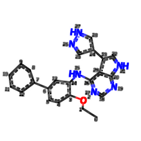 CCOc1ccc(-c2ccccc2)cc1Nc1ncnc2[nH]cc(-c3cn[nH]c3)c12